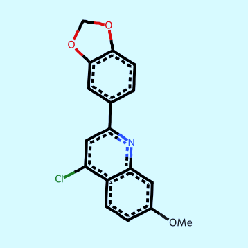 COc1ccc2c(Cl)cc(-c3ccc4c(c3)OCO4)nc2c1